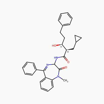 CN1C(=O)C(NC(=O)[C@H](CC2CC2)[C@@H](O)CCc2ccccc2)N=C(c2ccccc2)c2ccccc21